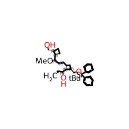 C=C[C@H](O)[C@@H]1C(/C=C/[C@H](OC)[C@@H]2CC[C@H]2CO)C[C@H]1CO[Si](c1ccccc1)(c1ccccc1)C(C)(C)C